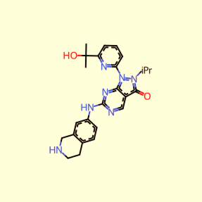 CC(C)n1c(=O)c2cnc(Nc3ccc4c(c3)CNCC4)nc2n1-c1cccc(C(C)(C)O)n1